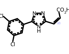 O=C(O)/C=C\c1nnc(-c2cc(Cl)cc(Cl)c2)[nH]1